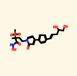 CC(CCn1ccc(-c2ccc(/C=C/CC(O)CO)cc2)cc1=O)(C(=O)NO)S(C)(=O)=O